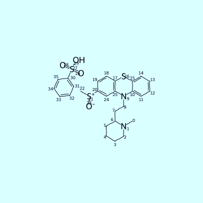 CN1CCCCC1CCN1c2ccccc2Sc2ccc([S+](C)[O-])cc21.O=S(=O)(O)c1ccccc1